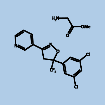 COC(=O)CN.FC(F)(F)C1(c2cc(Cl)cc(Cl)c2)CC(c2cccnc2)=NO1